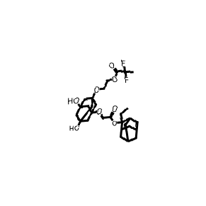 CCC1(OC(=O)COC23CC4(O)CC(O)(CC(OCCOC(=O)C(C)(F)F)(C4)C2)C3)C2CC3CC(C2)CC1C3